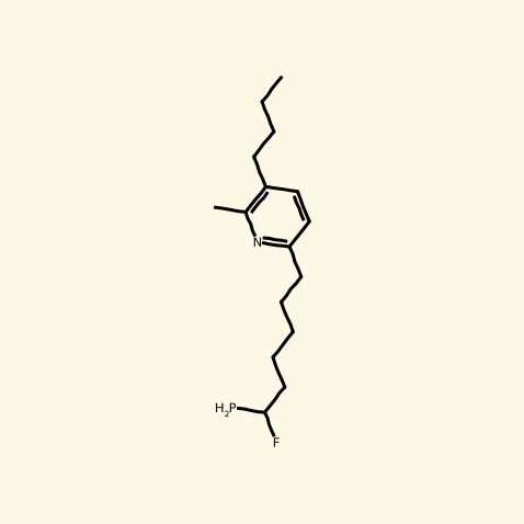 CCCCc1ccc(CCCCCC(F)P)nc1C